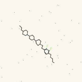 CCCCCc1ccc(CCC2CCC(C3CCC(C4CCC(CCC)CC4)CC3)CC2)c(F)c1F